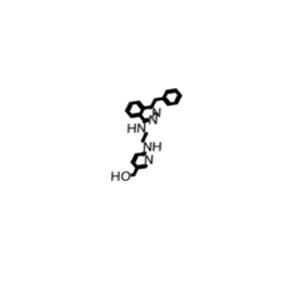 OCc1ccc(NCCNc2nnc(Cc3ccccc3)c3ccccc23)nc1